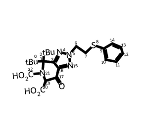 CC(C)(C)C1(C(C)(C)C)c2nn(CCSc3ccccc3)nc2C(=O)C(C(=O)O)N1C(=O)O